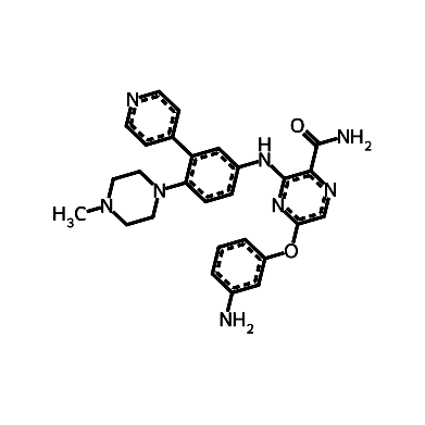 CN1CCN(c2ccc(Nc3nc(Oc4cccc(N)c4)cnc3C(N)=O)cc2-c2ccncc2)CC1